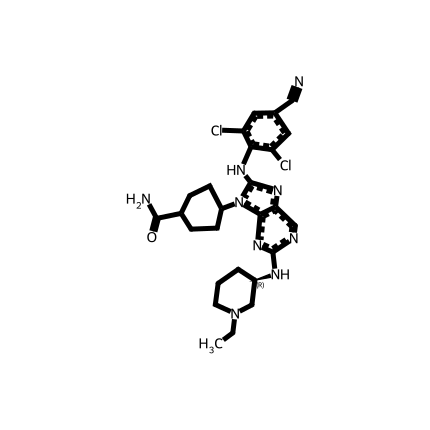 CCN1CCC[C@@H](Nc2ncc3nc(Nc4c(Cl)cc(C#N)cc4Cl)n(C4CCC(C(N)=O)CC4)c3n2)C1